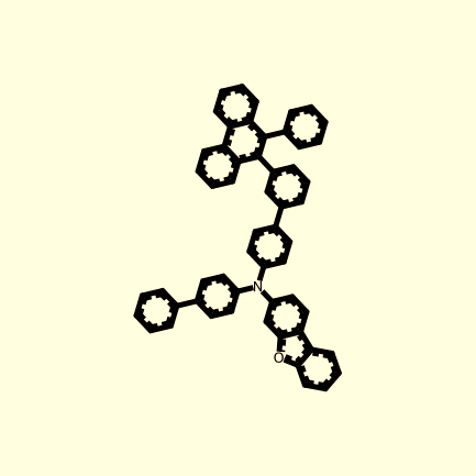 c1ccc(-c2ccc(N(c3ccc(-c4cccc(-c5c(-c6ccccc6)c6ccccc6c6ccccc56)c4)cc3)c3ccc4c(c3)oc3ccccc34)cc2)cc1